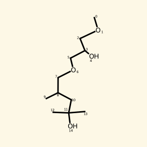 COCC(O)COCC(C)CC(C)(C)O